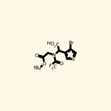 CC(C)(C)OC(=O)CN(C(=O)C(F)(F)F)C(C(=O)O)c1cscc1Br